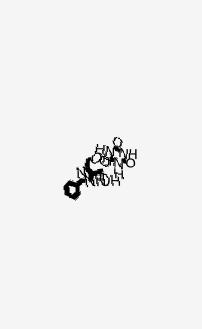 O=c1[nH]c(=O)[nH]c(=O)[nH]1.OCc1nc(-c2ccccc2)[nH]c1CO